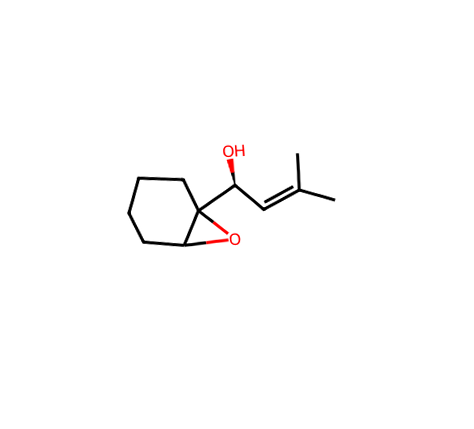 CC(C)=C[C@H](O)C12CCCCC1O2